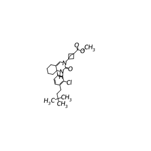 COC(=O)C12CC(N3C=C4CCCC[C@@]4(c4ccc(CCC(C)(C)C)c(Cl)c4)NC3=O)(C1)C2